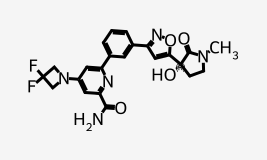 CN1CC[C@@](O)(c2cc(-c3cccc(-c4cc(N5CC(F)(F)C5)cc(C(N)=O)n4)c3)no2)C1=O